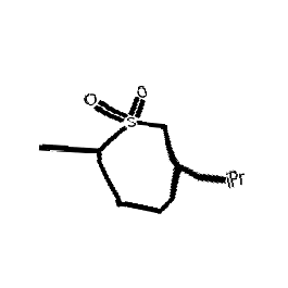 CC(C)C1CCC(C)S(=O)(=O)C1